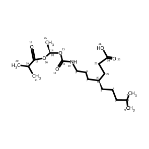 CC(C)CCC[C@@H](CCCNC(=O)O[C@H](C)OC(=O)C(C)C)CCC(=O)O